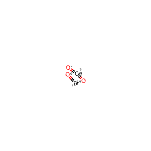 [O]=[Bi].[O]=[Ge]=[O]